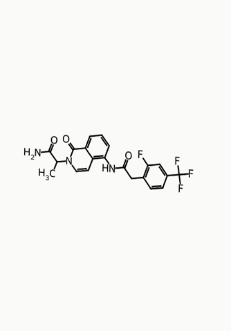 CC(C(N)=O)n1ccc2c(NC(=O)Cc3ccc(C(F)(F)F)cc3F)cccc2c1=O